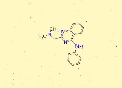 CN(C)Cc1nc(Nc2ccccc2)c2ccccc2n1